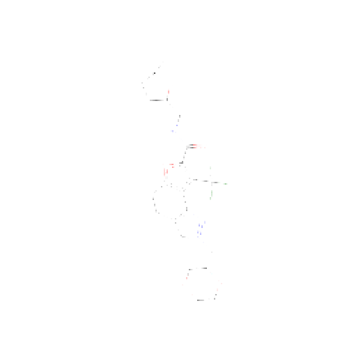 CC1(C)CCC(CNC(=O)c2oc3c(c2C(F)(F)F)-c2nn(C[C@H]4COCCO4)cc2CC3)O1